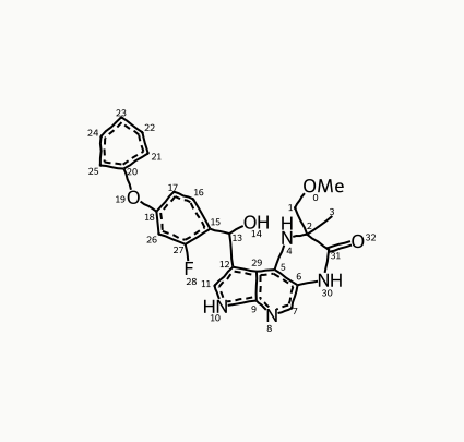 COCC1(C)Nc2c(cnc3[nH]cc(C(O)c4ccc(Oc5ccccc5)cc4F)c23)NC1=O